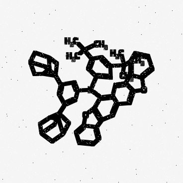 CC(C)(C)c1cc(N(c2cc(C34CC5CC(CC3C5)C4)cc(C34CC5CC(CC3C5)C4)c2)c2c3cc4c(cc3cc3c2oc2ccccc23)oc2ccccc24)cc(C(C)(C)C)c1